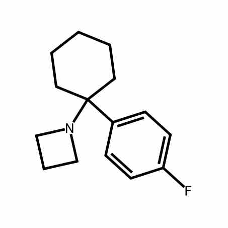 Fc1ccc(C2(N3CCC3)CCCCC2)cc1